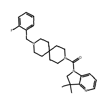 CC1(C)CN(C(=O)N2CCC3(CCN(Cc4ccccc4F)CC3)CC2)c2cccnc21